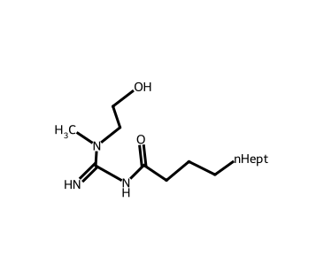 CCCCCCCCCCC(=O)NC(=N)N(C)CCO